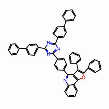 c1ccc(-c2ccc(-c3nc(-c4ccc(-c5ccccc5)cc4)nc(-c4ccc(-c5nc6ccccc6c6oc(-c7ccccc7)c(-c7ccccc7)c56)cc4)n3)cc2)cc1